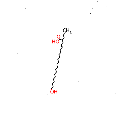 CCCCC(CC=CCCCCCCCCCCCCCCCCCO)C(=O)O